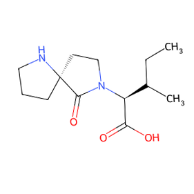 CCC(C)[C@@H](C(=O)O)N1CC[C@@]2(CCCN2)C1=O